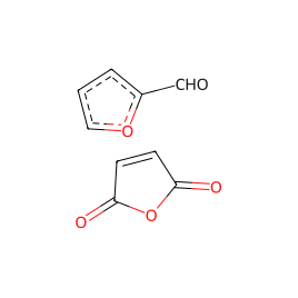 O=C1C=CC(=O)O1.O=Cc1ccco1